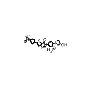 COc1cc(-n2cnc3cc(-c4ccc([N+](=O)[O-])cc4)sc3c2=O)ccc1N1CC[C@@H](O)C1